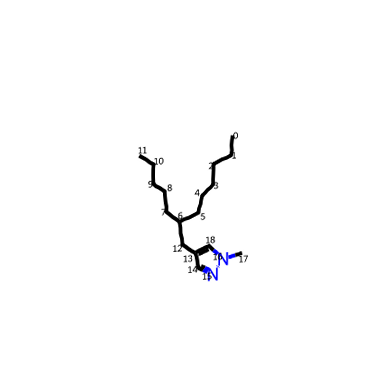 CCCCCCC(CCCCC)Cc1cnn(C)c1